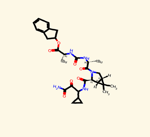 CC(C)(C)[C@@H](NC(=O)N[C@@H](C(=O)N1C[C@H]2[C@@H]([C@H]1C(=O)NC(C(=O)C(N)=O)C1CC1)C2(C)C)C(C)(C)C)C(=O)OC1Cc2ccccc2C1